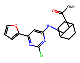 COC(=O)C1C2CCC(CC2)C1Nc1cc(-c2ccco2)nc(Cl)n1